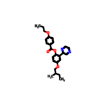 CCCOc1ccc(C(=O)Oc2ccc(OCC(C)CC)cc2-c2cnccn2)cc1